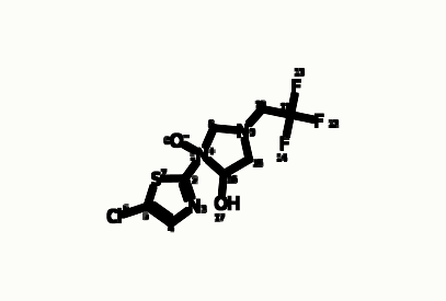 [O-][N+]1(c2ncc(Cl)s2)CN(CC(F)(F)F)CC1O